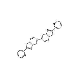 c1ccc(C2=Nc3cc(-c4ccc5c(c4)N=C(c4ccccn4)C5)ccc3C2)nc1